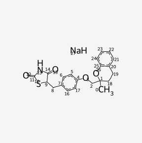 CC1(COc2ccc(CC3SC(=O)NC3=O)cc2)CCc2ccccc2O1.[NaH]